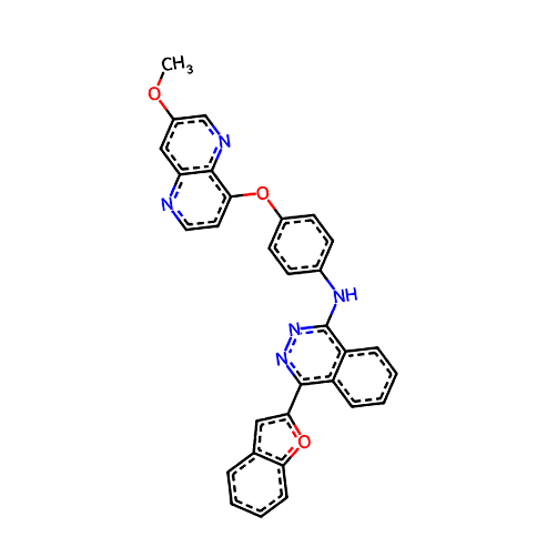 COc1cnc2c(Oc3ccc(Nc4nnc(-c5cc6ccccc6o5)c5ccccc45)cc3)ccnc2c1